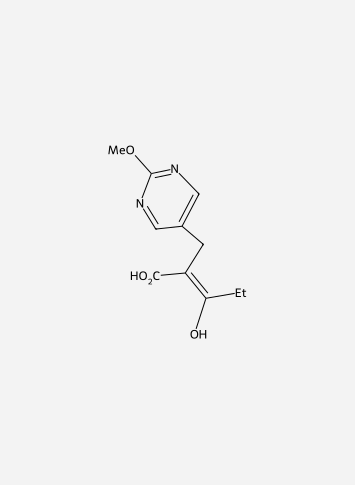 CC/C(O)=C(\Cc1cnc(OC)nc1)C(=O)O